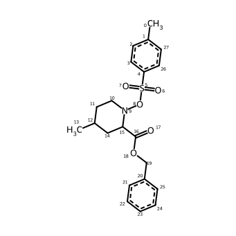 Cc1ccc(S(=O)(=O)ON2CCC(C)CC2C(=O)OCc2ccccc2)cc1